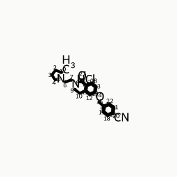 CC1CCCN1CCN1CCc2cc(OCc3ccc(C#N)cc3)ccc2C1=O.Cl